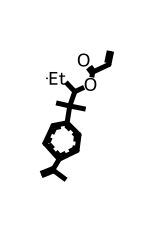 C=CC(=O)OC([CH]C)C(C)(C)c1ccc(C(=C)C)cc1